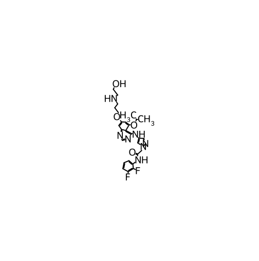 CC(C)Oc1cc(OCCCNCCO)cc2ncnc(Nc3cnn(CC(=O)Nc4cccc(F)c4F)c3)c12